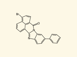 O=c1c2ccc(Br)c3cccc(c32)c2nc3ccc(-c4ccccc4)cc3n12